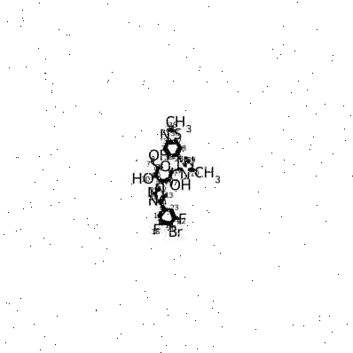 Cc1nc([C@@H]2O[C@H](CO)[C@H](O)[C@H](n3cc(-c4cc(F)c(Br)c(F)c4)nn3)[C@H]2O)n(-c2ccc3nc(C)sc3c2)n1